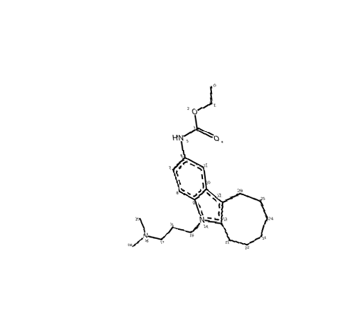 CCOC(=O)Nc1ccc2c(c1)c1c(n2CCCN(C)C)CCCCCC1